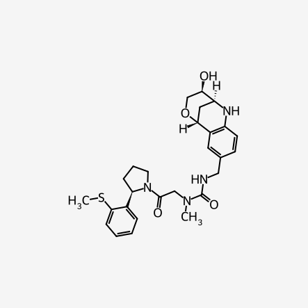 CSc1ccccc1[C@H]1CCCN1C(=O)CN(C)C(=O)NCc1ccc2c(c1)[C@H]1C[C@H](N2)[C@H](O)CO1